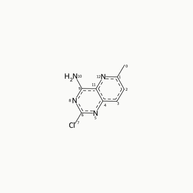 Cc1ccc2nc(Cl)nc(N)c2n1